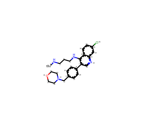 CC(C)(C)NCCCNc1c(-c2ccc(CN3CCOCC3)cc2)cnc2cc(Cl)ccc12